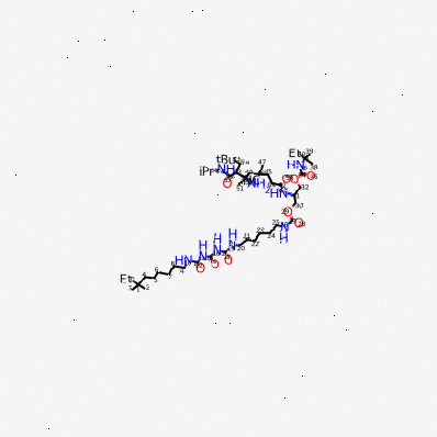 CCC(C)(C)CCCCCCNC(=O)NC(=O)NC(=O)NCCCCCCNC(=O)OCC(COC(=O)NC(C)(C)CC)NC(=O)CCC(C)(C#N)CC(C)(N)C(CC(C)(C)C)C(=O)NC(C)C